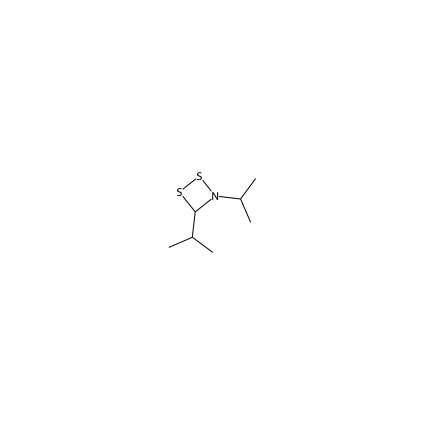 CC(C)C1SSN1C(C)C